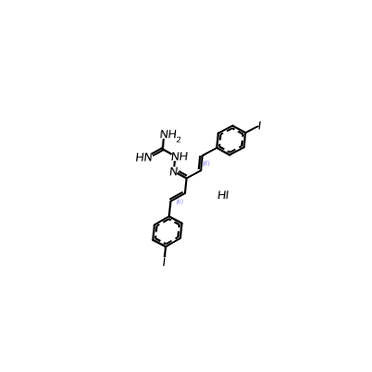 I.N=C(N)NN=C(/C=C/c1ccc(I)cc1)/C=C/c1ccc(I)cc1